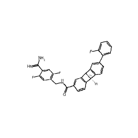 N=C(N)c1cc(F)c(CNC(=O)c2ccc3c(c2)C2c4cc(-c5ccccc5F)ccc4[C@@H]32)cc1F